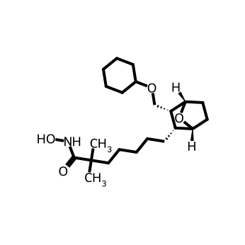 CC(C)(CCCCC[C@@H]1[C@H](COC2CCCCC2)[C@@H]2CC[C@H]1O2)C(=O)NO